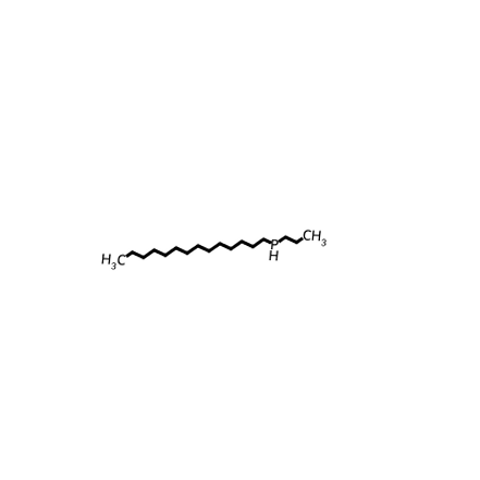 CCCCCCCCCCCCCCPCCC